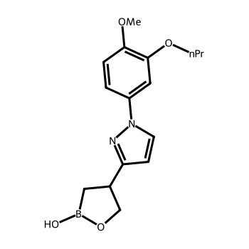 CCCOc1cc(-n2ccc(C3COB(O)C3)n2)ccc1OC